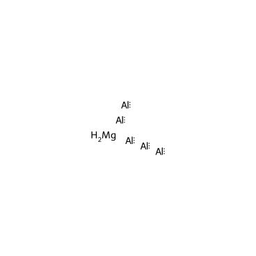 [Al].[Al].[Al].[Al].[Al].[MgH2]